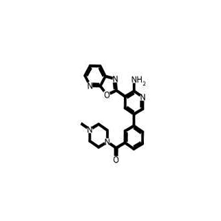 CN1CCN(C(=O)c2cccc(-c3cnc(N)c(-c4nc5cccnc5o4)c3)c2)CC1